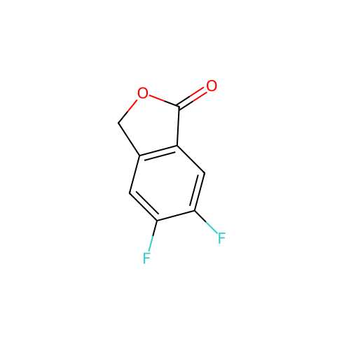 O=C1OCc2cc(F)c(F)cc21